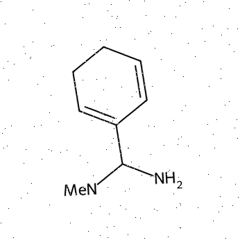 CNC(N)C1=CCCC=C1